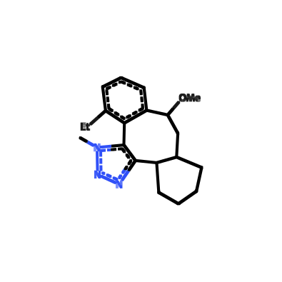 CCc1cccc2c1-c1c(nnn1C)C1CCCCC1CC2OC